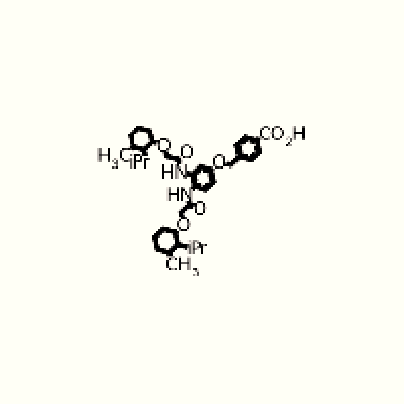 CC(C)C1C(C)CCCC1OCC(=O)Nc1ccc(OCc2ccc(C(=O)O)cc2)cc1NC(=O)COC1CCCC(C)C1C(C)C